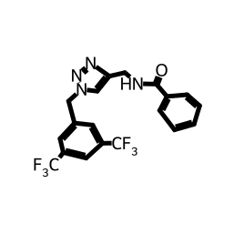 O=C(NCc1cn(Cc2cc(C(F)(F)F)cc(C(F)(F)F)c2)nn1)c1ccccc1